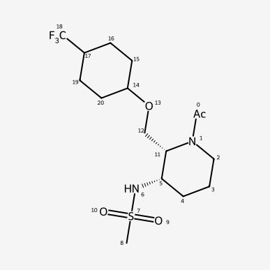 CC(=O)N1CCC[C@H](NS(C)(=O)=O)[C@@H]1COC1CCC(C(F)(F)F)CC1